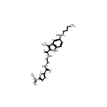 CCCCSNc1ccc2[nH]c(C(=O)NCCNC(=O)c3ccc([N+](=O)[O-])o3)c(C)c2c1